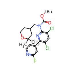 CC(C)(C)OC(=O)N(CC1CCOC(C)(C)C1)c1nc(-c2ccnc(F)c2)c(Cl)cc1Cl